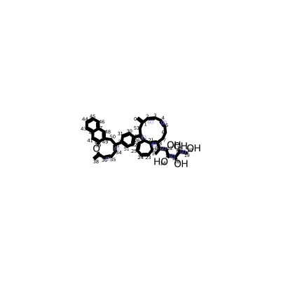 C=C1/C=C\C=C/CCC(/C(C)=C(O)/C(O)=C(O)\C(O)=C\O)=C2/CC=CC=C/C2=C(\c2ccc(/C3=C/C=C\C(=C)Oc4cc5ccccc5cc4C3)cc2)C1